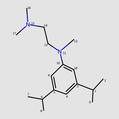 CC(C)c1cc(C(C)C)cc(N(C)CCN(C)C)c1